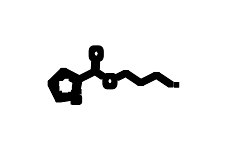 [CH2]CCCOC(=O)c1cccs1